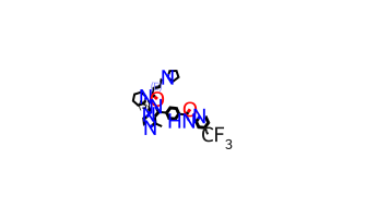 Cc1nccn2c([C@@H]3CCCCN3C(=O)/C=C/CN3CCCC3)nc(-c3ccc(C(=O)Nc4cc(C(F)(F)F)ccn4)cc3)c12